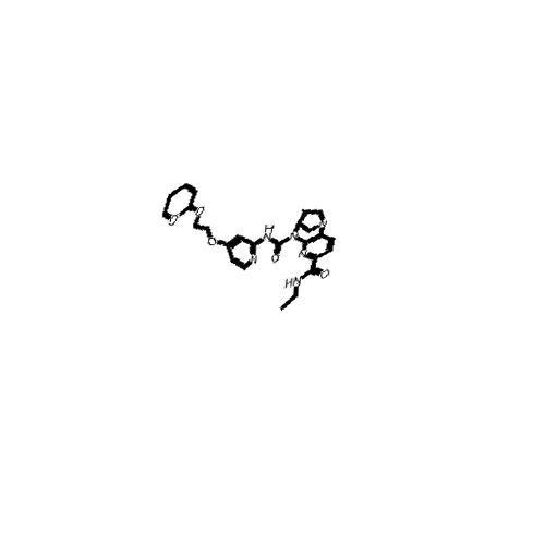 CCNC(=O)c1ccc2c(n1)N(C(=O)Nc1cc(OCCOC3CCCCO3)ccn1)C1CCN2C1